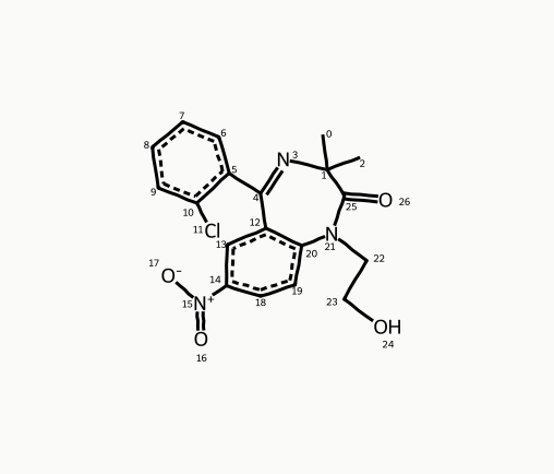 CC1(C)N=C(c2ccccc2Cl)c2cc([N+](=O)[O-])ccc2N(CCO)C1=O